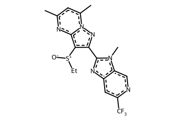 CC[S+]([O-])c1c(-c2nc3cc(C(F)(F)F)ncc3n2C)nn2c(C)cc(C)nc12